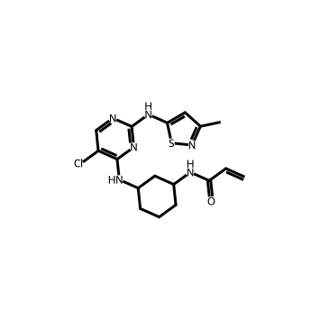 C=CC(=O)NC1CCCC(Nc2nc(Nc3cc(C)ns3)ncc2Cl)C1